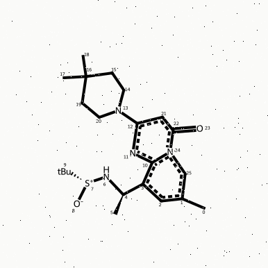 Cc1cc([C@@H](C)N[S@+]([O-])C(C)(C)C)c2nc(N3CCC(C)(C)CC3)cc(=O)n2c1